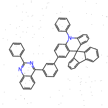 c1ccc(-c2nc(-c3cccc(-c4ccc5c(c4)C4(c6ccccc6-c6ccccc64)c4ccccc4N5c4ccccc4)c3)c3ccccc3n2)cc1